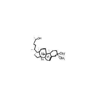 C[C@H](O)CC[C@@H](C)[C@H]1CC[C@H]2[C@@H]3CC=C4CC(O)(O)CC[C@]4(C)[C@H]3CC[C@]12C